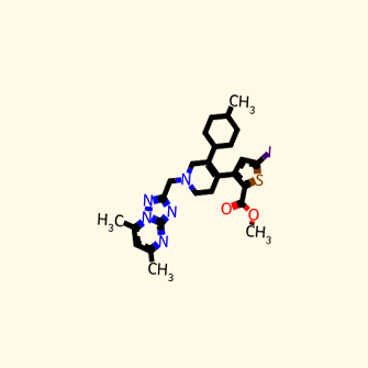 COC(=O)c1sc(I)cc1C1=C(C2CCC(C)CC2)CN(Cc2nc3nc(C)cc(C)n3n2)CC1